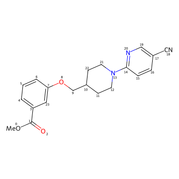 COC(=O)c1cccc(OCC2CCN(c3ccc(C#N)cn3)CC2)c1